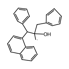 [CH2]C(O)(Cc1ccccc1)C(c1ccccc1)c1cccc2ccccc12